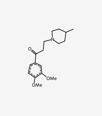 COc1ccc(C(=O)CCN2CCC(C)CC2)cc1OC